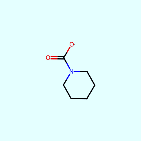 [O]C(=O)N1CCCCC1